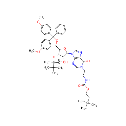 COc1ccc(C(OC[C@H]2O[C@@H](n3cnc4c(=O)n(CCNC(=O)OCC[Si](C)(C)C)cnc43)[C@H](O)[C@@H]2O[Si](C)(C)C(C)(C)C)(c2ccccc2)c2ccc(OC)cc2)cc1